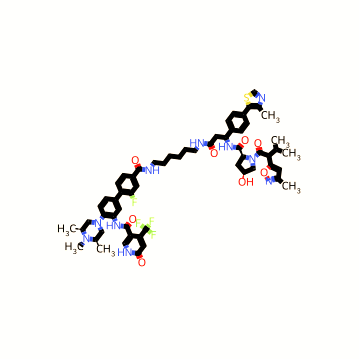 Cc1cc(C(C(=O)N2C[C@H](O)C[C@H]2C(=O)NC(CC(=O)NCCCCCCNC(=O)c2ccc(-c3ccc(N4C[C@@H](C)N(C)[C@@H](C)C4)c(NC(=O)c4c[nH]c(=O)cc4C(F)(F)F)c3)c(F)c2)c2ccc(-c3scnc3C)cc2)C(C)C)on1